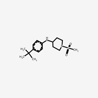 CC(C)(C)c1ccc(NC2CCN(S(C)(=O)=O)CC2)cc1